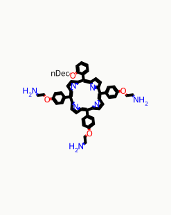 CCCCCCCCCCOc1ccccc1C1=C2C=CC(=N2)C(c2ccc(OCCN)cc2)=C2C=CC(=N2)C(c2ccc(OCCN)cc2)=C2C=CC(=N2)C(c2ccc(OCCN)cc2)=C2C=CC1=N2